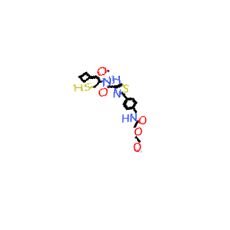 COCCOCC(=O)NCc1ccc(-c2nc(C(=O)NC(CS)C(OC)=C3CCC3)cs2)cc1